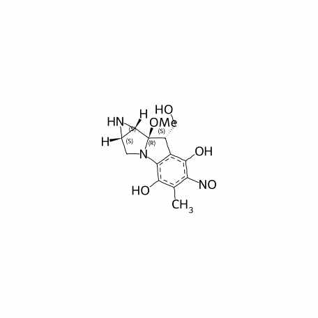 CO[C@@]12[C@H](CO)c3c(O)c(N=O)c(C)c(O)c3N1C[C@@H]1N[C@@H]12